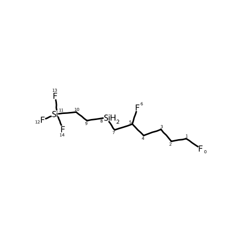 FCCCCC(F)C[SiH2]CC[Si](F)(F)F